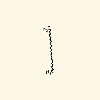 C=CCC=CCC=CCCCCCC=CCC=CCC=CCC